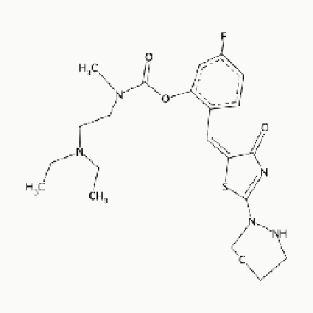 CCN(CC)CCN(C)C(=O)Oc1cc(F)ccc1/C=C1/SC(N2CCCCN2)=NC1=O